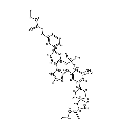 CCOC(=O)CCc1cccc(-c2ccc(-n3ccc(C)n3)c([C@@H](Oc3cc(N4CCC5(CC4)CNC(C(=O)OCC)C5)nc(N)n3)C(F)(F)F)c2)c1